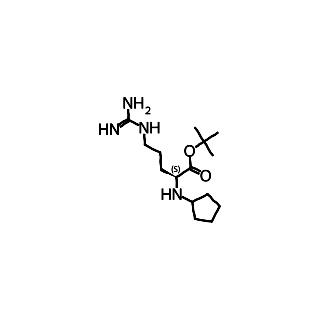 CC(C)(C)OC(=O)[C@H](CCCNC(=N)N)NC1CCCC1